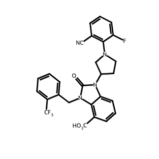 N#Cc1cccc(F)c1N1CCC(n2c(=O)n(Cc3ccccc3C(F)(F)F)c3c(C(=O)O)cccc32)C1